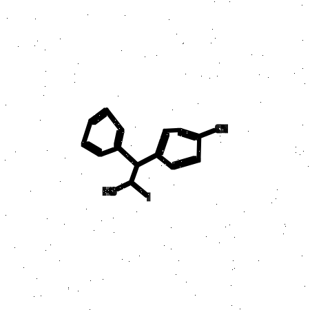 N#Cc1ccc(C(c2ccccc2)C(O)I)cc1